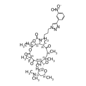 CC[C@H]1OC(=O)[C@@](C)(F)C(=O)[C@H](C)[C@H]2C([C@H]3C[C@@H](N(C)C)C[C@@H](C)O3)O[C@@]2(C)C[C@@H](C)C(=O)[C@H](C)C2N(CCCCn3cc(-c4cccc([N+](=O)[O-])c4)nn3)C(=O)O[C@@]21C